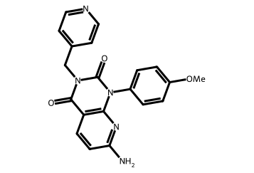 COc1ccc(-n2c(=O)n(Cc3ccncc3)c(=O)c3ccc(N)nc32)cc1